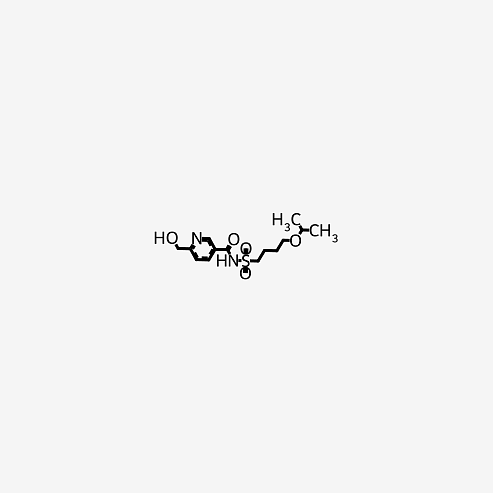 CC(C)OCCCCS(=O)(=O)NC(=O)c1ccc(CO)nc1